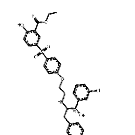 CCOC(=O)c1cc(S(=O)(=O)c2ccc(OCCNC(Cc3ccccc3)[C@H](O)c3cccc(Cl)c3)cc2)ccc1O